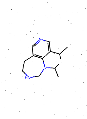 CC(C)c1cncc2c1N(C(C)C)CNCC2